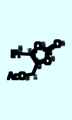 CC(=O)OCc1oc(=O)oc1C(C)C